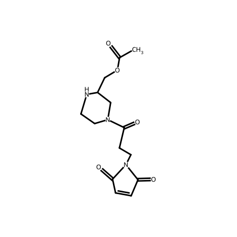 CC(=O)OCC1CN(C(=O)CCN2C(=O)C=CC2=O)CCN1